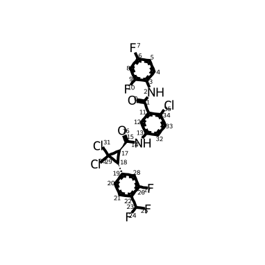 O=C(Nc1ccc(F)cc1F)c1cc(NC(=O)[C@H]2[C@H](c3ccc(C(F)F)c(F)c3)C2(Cl)Cl)ccc1Cl